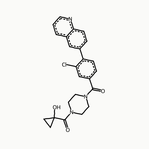 O=C(c1ccc(-c2ccc3ncccc3c2)c(Cl)c1)N1CCN(C(=O)C2(O)CC2)CC1